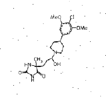 COc1cc(C2CCN(C(O)CCC3(C)NC(=O)NC3=O)CC2)cc(OC)c1Cl